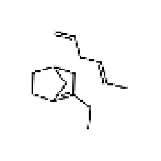 C=CCC=CC.CCC1=C2CCC(C1)C2